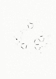 COc1ccc(/C=C\c2cc(OC)c(OC)c(OC)c2)cc1O.COc1ccc(CCN(C)CCCC(C#N)(c2ccc(OC)c(OC)c2)C(C)C)cc1OC